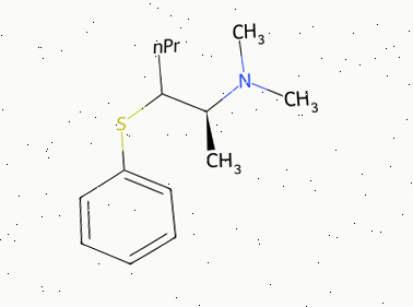 CCCC(Sc1ccccc1)[C@H](C)N(C)C